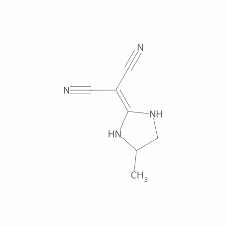 CC1CNC(=C(C#N)C#N)N1